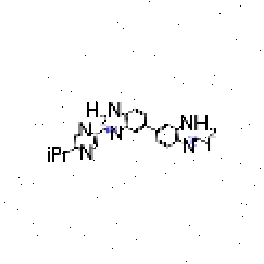 CC(C)c1cnc(/C=N/c2cc(-c3ccc(/N=C/I)c(N)c3)ccc2N)cn1